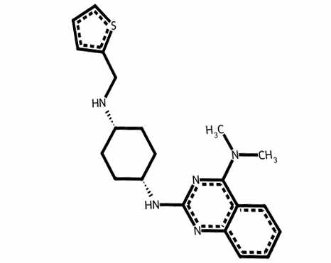 CN(C)c1nc(N[C@H]2CC[C@@H](NCc3cccs3)CC2)nc2ccccc12